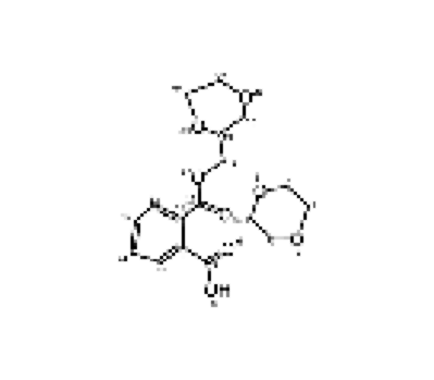 C1COCCO1.O=C(O)c1ccccc1C(=O)OCC1COCCO1